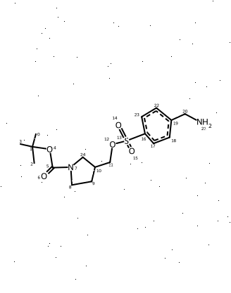 CC(C)(C)OC(=O)N1CCC(COS(=O)(=O)c2ccc(CN)cc2)C1